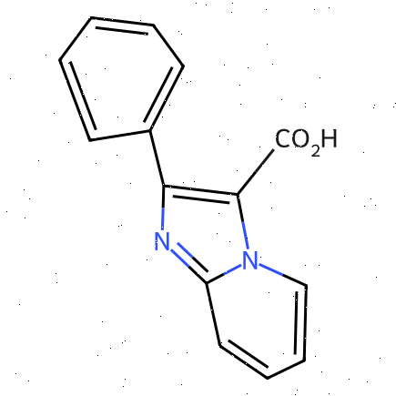 O=C(O)c1c(-c2ccccc2)nc2ccccn12